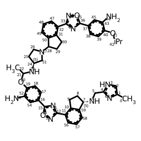 Cc1c[nH]c(CN[C@H]2CCc3c(-c4noc(-c5ccc(OC(C)N[C@H]6CCN(C7CCc8c(-c9noc(-c%10ccc(OC(C)C)c(N)c%10)n9)cccc87)C6)c(N)c5)n4)cccc32)n1